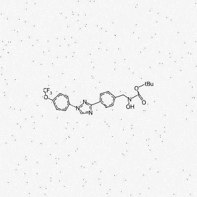 CC(C)(C)OC(=O)N(O)Cc1ccc(-c2ncn(-c3ccc(OC(F)(F)F)cc3)n2)cc1